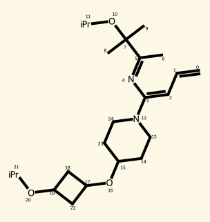 C=C/C=C(\N=C(/C)C(C)(C)OC(C)C)N1CCC(OC2CC(OC(C)C)C2)CC1